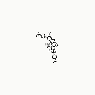 COCc1nc(N[C@H](C)c2cccc(C(F)(F)C3CCN(C(C)C)CC3)c2F)c2cc(N3CCN(C(C)=O)CC3)c(OC)nc2n1